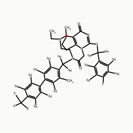 [2H]c1c([2H])c(C([2H])([2H])Sc2nc(=O)c3c(n2CC(=O)N(CCN(CC)CC)C([2H])([2H])c2c([2H])c([2H])c(-c4c([2H])c([2H])c(C(F)(F)F)c([2H])c4[2H])c([2H])c2C)CCC3)c([2H])c([2H])c1F